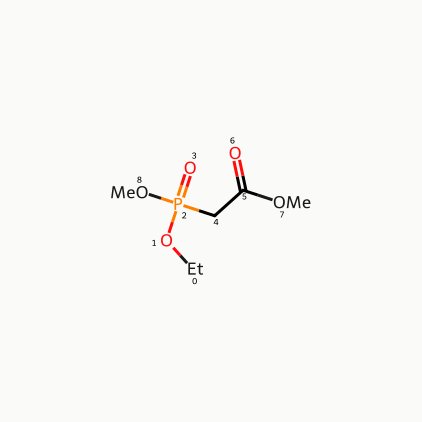 CCOP(=O)(CC(=O)OC)OC